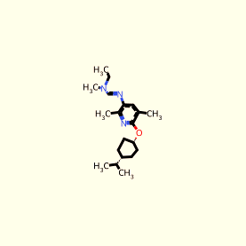 CCN(C)/C=N/c1cc(C)c(O[C@H]2CC[C@@H](C(C)C)CC2)nc1C